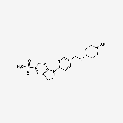 CS(=O)(=O)c1ccc2c(c1)CCN2c1ccc(COC2CCN(C#N)CC2)cn1